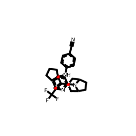 N#Cc1ccc(NC2(C(=O)N3CC4CCC(C3)N4c3cccc(C(F)(F)F)n3)CCCC2)cc1